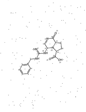 N=C(NCc1ccccc1)NC1C=NC(=O)C2CCC(C(=O)O)N12